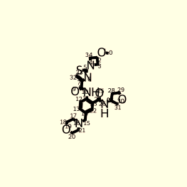 COC1CN(c2nc(C(=O)Nc3ccc(CN4CCOCC4)cc3C(=O)N[C@H]3CCOC3)cs2)C1